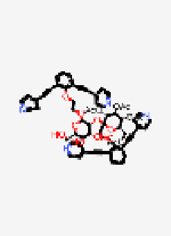 CC(=O)OC[C@H]1OC(CCOc2c(C#Cc3ccncc3)cccc2C#Cc2ccncc2)(O[C@H]2C(OCCOc3c(C#Cc4ccncc4)cccc3C#Cc3ccncc3)O[C@H](CO)[C@@H](O)[C@@H]2O)[C@H](OC(C)=O)[C@@H](OC(C)=O)[C@@H]1OC(C)=O